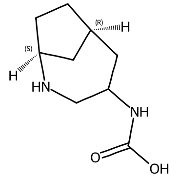 O=C(O)NC1CN[C@H]2CC[C@@H](C1)C2